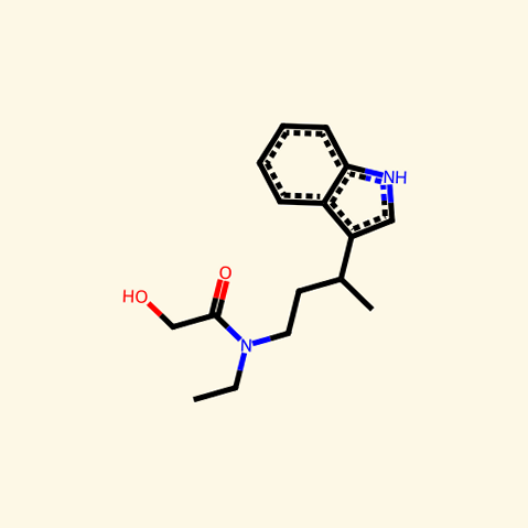 CCN(CCC(C)c1c[nH]c2ccccc12)C(=O)CO